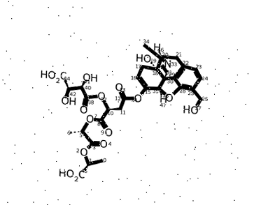 C[C@H](OC(=O)[C@H](C)OC(=O)[C@H](CC(=O)OC1=CC[C@@]2(O)[C@H]3Cc4ccc(CO)c5c4[C@@]2(CCN3C)[C@H]1O5)OC(=O)[C@H](O)[C@@H](O)C(=O)O)C(=O)O